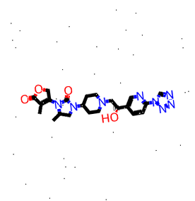 CC1=C(N2C(=O)N(C3CCN(C[C@H](O)c4ccc(-n5cnnn5)nc4)CC3)CC2C)COC1=O